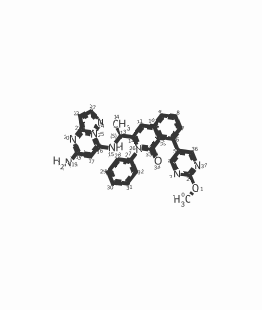 COc1ncc(-c2cccc3cc([C@H](C)Nc4cc(N)nc5ccnn45)n(-c4ccccc4)c(=O)c23)cn1